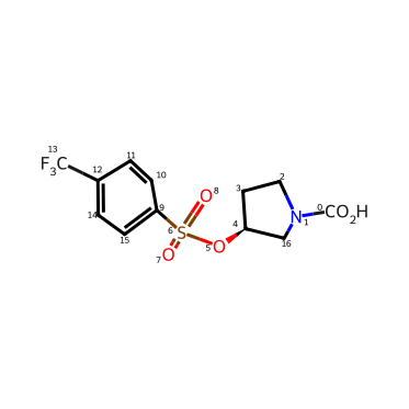 O=C(O)N1CC[C@H](OS(=O)(=O)c2ccc(C(F)(F)F)cc2)C1